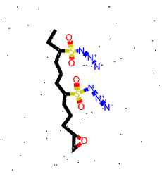 CCC(CCCC(CCCC1CO1)S(=O)(=O)N=[N+]=[N-])S(=O)(=O)N=[N+]=[N-]